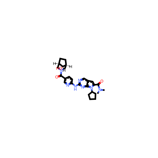 CN(C)C(=O)c1cc2cnc(Nc3ccc(C(=O)N4C[C@H]5CC[C@@H](C4)[C@H]5O)cn3)nc2n1C1CCCC1